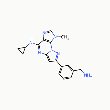 Cn1cnc2c(NC3CC3)nc3cc(-c4cccc(CN)c4)nn3c21